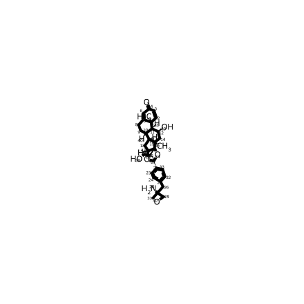 C[C@]12C=CC(=O)C=C1CC[C@@H]1[C@@H]2[C@@H](O)C[C@@]2(C)[C@H]1C[C@H]1O[C@@H](c3ccc(CC4(N)COC4)cc3)O[C@]12C(=O)CO